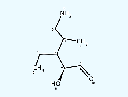 CCC(C(C)CN)[C@H](O)C=O